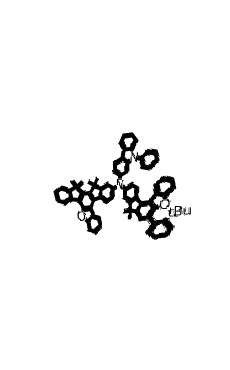 CC(C)(C)c1ccccc1-c1cc2c(c3c1oc1ccccc13)-c1ccc(N(c3ccc4c(c3)C(C)(C)c3c5c(c6oc7ccccc7c6c3-4)-c3ccccc3C5(C)C)c3ccc4c5ccccc5n(-c5ccccc5)c4c3)cc1C2(C)C